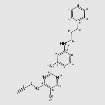 C#CCOc1nc(Nc2cccc(NCCCc3ccccc3)c2)ncc1Br